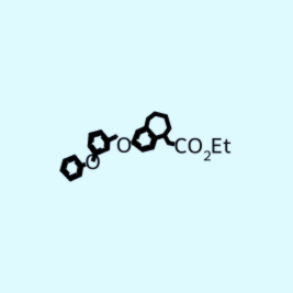 CCOC(=O)CC1CCCCc2cc(OCc3cccc(Oc4ccccc4)c3)ccc21